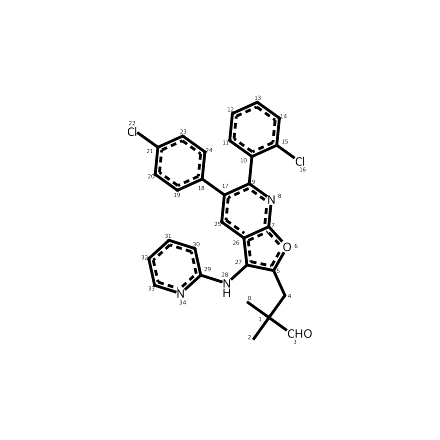 CC(C)(C=O)Cc1oc2nc(-c3ccccc3Cl)c(-c3ccc(Cl)cc3)cc2c1Nc1ccccn1